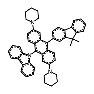 CC1(C)c2ccccc2-c2ccc(-c3c4cc(N5CCCCC5)ccc4c(-n4c5ccccc5c5ccccc54)c4cc(N5CCCCC5)ccc34)cc21